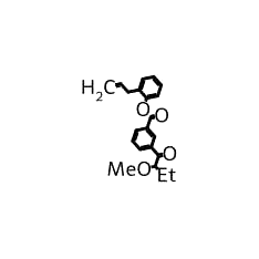 C=CCc1ccccc1OC(=O)c1cccc(C(=O)C(CC)OC)c1